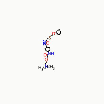 CN(C)CCOCC(=O)Nc1ccc(-c2nnc(CSCCOc3ccccc3)o2)cc1